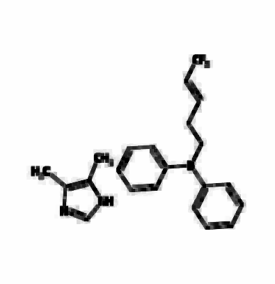 Cc1nc[nH]c1C.FC(F)(F)C=CCCB(c1ccccc1)c1ccccc1